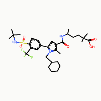 Cc1c(C(=O)NC(C)CCC(C)(C)C(=O)O)cc(-c2ccc(S(=O)(=O)NC(C)(C)C)c(C(F)(F)F)c2)n1CC1CCCCC1